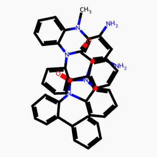 CN(c1cc(-n2c(=O)n(-c3ccccc3-c3ccccc3)c3ccccc32)c(N)cc1N)c1ccccc1N(C=O)c1ccccc1-c1ccccc1